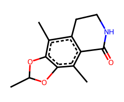 Cc1c2c(c(C)c3c1OC(C)O3)C(=O)NCC2